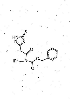 CC(C)CN(C(=O)Nc1n[nH]c(=S)s1)C(=O)OCc1ccccc1